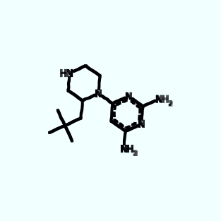 CC(C)(C)CC1CNCCN1c1cc(N)nc(N)n1